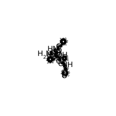 NC(=O)C[C@H](NC(=O)OCc1ccccc1)C(=O)N[C@@H](Cc1ccccc1)[C@H](O)C(=O)N1CCC[C@H]1C(=O)NCCN1CCOCC1